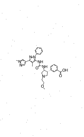 COCCN1C[C@@H](NC(=O)Nc2c(C)c(-c3cnn(C)c3)nn2-c2ccccc2)[C@H](c2cccc(C(=O)O)c2)C1